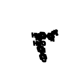 CN(C)Cc1cncc(-c2ccc3[nH]nc(C(=O)Nc4ccc(N5CCOCC5)nc4)c3c2)c1